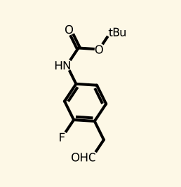 CC(C)(C)OC(=O)Nc1ccc(CC=O)c(F)c1